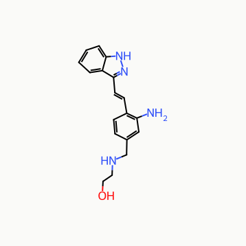 Nc1cc(CNCCO)ccc1/C=C/c1n[nH]c2ccccc12